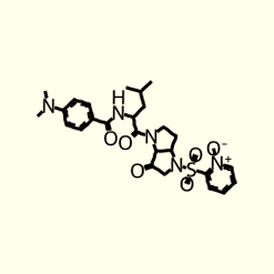 CC(C)CC(NC(=O)c1ccc(N(C)C)cc1)C(=O)N1CCC2C1C(=O)CN2S(=O)(=O)c1cccc[n+]1[O-]